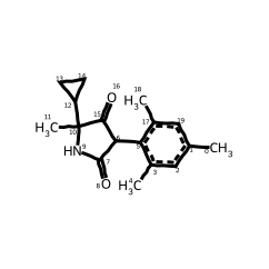 Cc1cc(C)c(C2C(=O)NC(C)(C3CC3)C2=O)c(C)c1